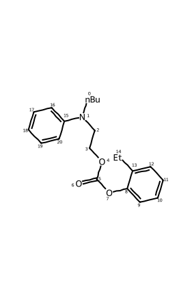 CCCCN(CCOC(=O)Oc1ccccc1CC)c1ccccc1